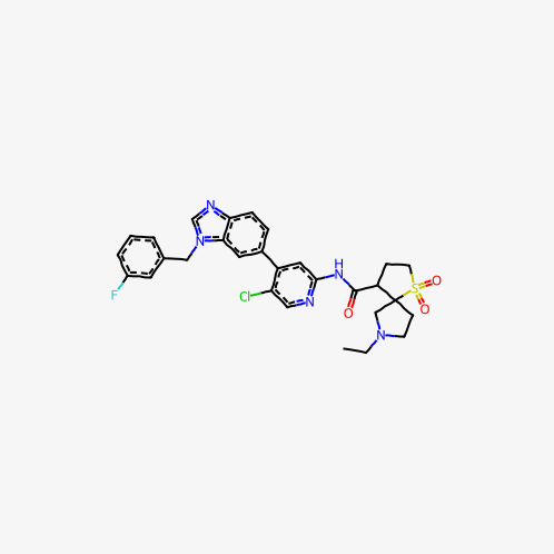 CCN1CCC2(C1)C(C(=O)Nc1cc(-c3ccc4ncn(Cc5cccc(F)c5)c4c3)c(Cl)cn1)CCS2(=O)=O